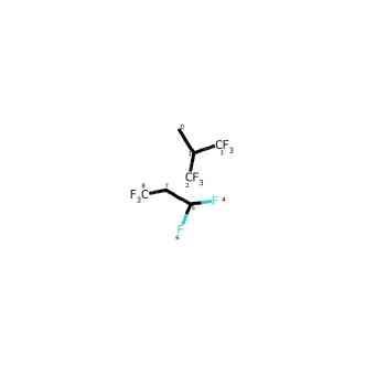 CC(C(F)(F)F)C(F)(F)F.FC(F)CC(F)(F)F